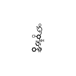 CN1CCN(Cc2cc(Cl)cc(Nc3nccc(-c4ccnn4-c4ccccc4)n3)c2)CCC1=O